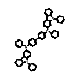 C1=CC(N(c2ccc(-c3ccc(N(c4ccccc4)c4ccc5c(c4)c4ccccc4n5-c4ccccc4)cc3)cc2)c2ccc3c4ccccc4n(-c4ccccc4)c3c2)=CCC1